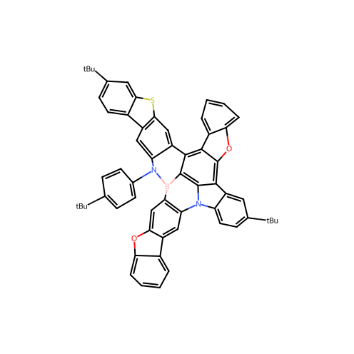 CC(C)(C)c1ccc(N2B3c4cc5oc6ccccc6c5cc4-n4c5ccc(C(C)(C)C)cc5c5c6oc7ccccc7c6c(c3c54)-c3cc4sc5cc(C(C)(C)C)ccc5c4cc32)cc1